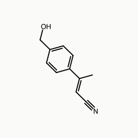 C/C(=C\C#N)c1ccc(CO)cc1